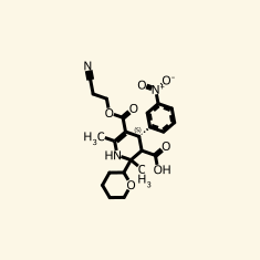 CC1=C(C(=O)OCCC#N)[C@H](c2cccc([N+](=O)[O-])c2)C(C(=O)O)C(C)(C2CCCCO2)N1